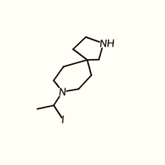 CC(I)N1CCC2(CCNC2)CC1